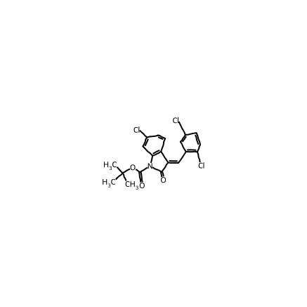 CC(C)(C)OC(=O)N1C(=O)/C(=C/c2cc(Cl)ccc2Cl)c2ccc(Cl)cc21